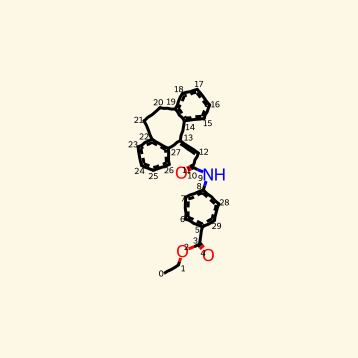 CCOC(=O)c1ccc(NC(=O)C=C2c3ccccc3CCc3ccccc32)cc1